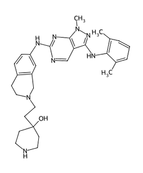 Cc1cccc(C)c1Nc1nn(C)c2nc(Nc3ccc4c(c3)CN(CCC3(O)CCNCC3)CC4)ncc12